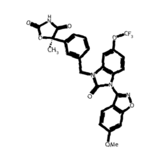 COc1ccc2c(-n3c(=O)n(Cc4cccc([C@@]5(C)OC(=O)NC5=O)c4)c4cc(OC(F)(F)F)ccc43)noc2c1